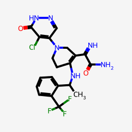 CC(NC1=C(C(=N)C(N)=O)CN(c2cn[nH]c(=O)c2Cl)CC1)c1ccccc1C(F)(F)F